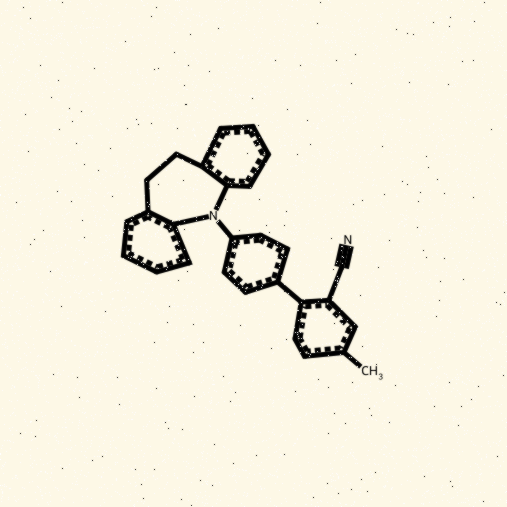 Cc1ccc(-c2ccc(N3c4ccccc4CCc4ccccc43)cc2)c(C#N)c1